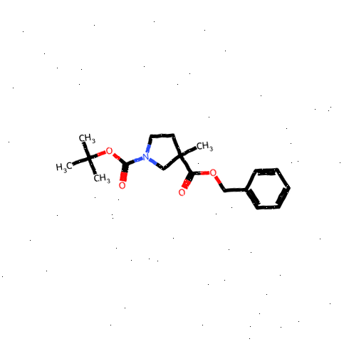 CC(C)(C)OC(=O)N1CCC(C)(C(=O)OCc2ccccc2)C1